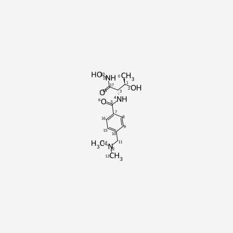 C[C@@H](O)[C@H](NC(=O)c1ccc(CN(C)C)cc1)C(=O)NO